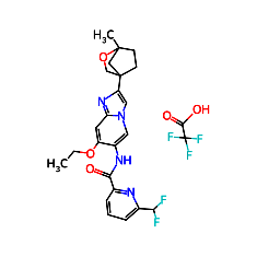 CCOc1cc2nc(C34CCC(C)(C3)OC4)cn2cc1NC(=O)c1cccc(C(F)F)n1.O=C(O)C(F)(F)F